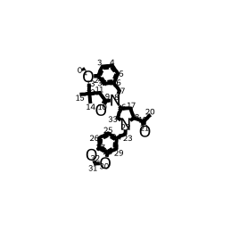 COc1cccc(CN(C(=O)CC(C)(C)C)C2CC(C(C)=O)N(Cc3ccc4c(c3)OCO4)C2)c1